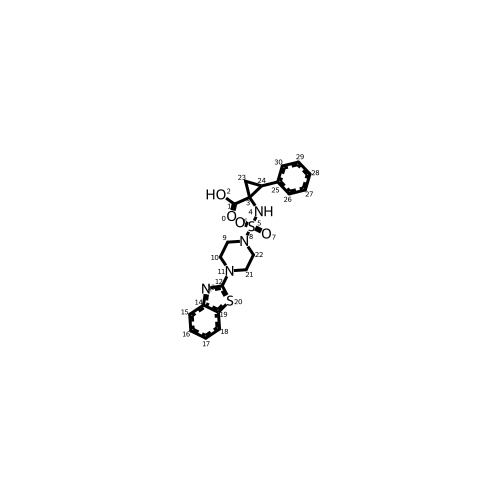 O=C(O)C1(NS(=O)(=O)N2CCN(c3nc4ccccc4s3)CC2)CC1c1ccccc1